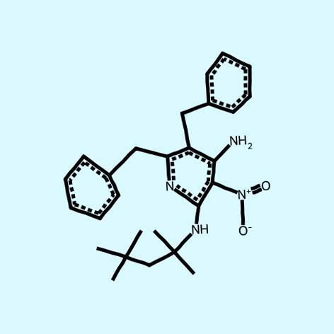 CC(C)(C)CC(C)(C)Nc1nc(Cc2ccccc2)c(Cc2ccccc2)c(N)c1[N+](=O)[O-]